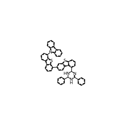 c1ccc(C2=NC(c3cccc4sc5cc(-c6cccc7c6sc6c(-n8c9ccccc9c9ccccc98)cccc67)ccc5c34)NC(c3ccccc3)N2)cc1